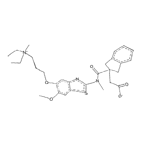 CC[N+](C)(CC)CCCOc1cc2nc(N(C)C(=O)C3(CC(=O)[O-])Cc4ccccc4C3)sc2cc1OC